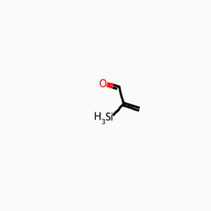 C=C([SiH3])C=O